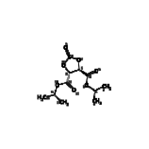 CC(C)OC(=O)[C@@H]1OS(=O)O[C@H]1C(=O)OC(C)C